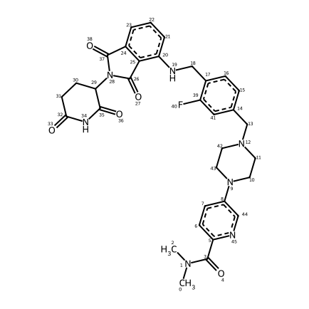 CN(C)C(=O)c1ccc(N2CCN(Cc3ccc(CNc4cccc5c4C(=O)N(C4CCC(=O)NC4=O)C5=O)c(F)c3)CC2)cn1